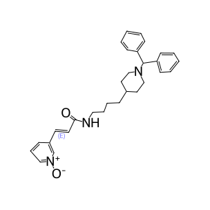 O=C(/C=C/c1ccc[n+]([O-])c1)NCCCCC1CCN(C(c2ccccc2)c2ccccc2)CC1